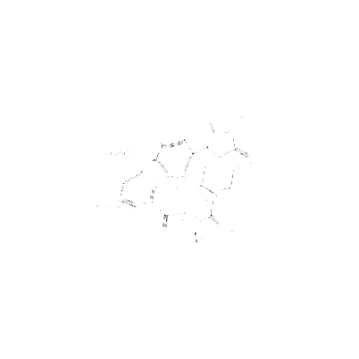 CNCc1ccc(C2C(=O)N(C)C(=O)C23CCN(C(=O)[C@H](NC(=O)c2cc(C(F)(F)F)ccc2F)C(C)C)CC3)cc1